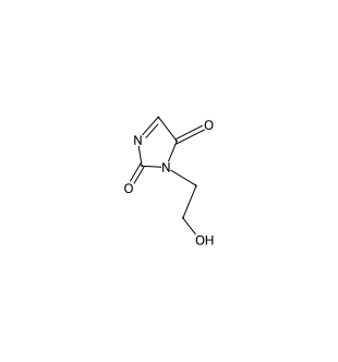 O=C1C=NC(=O)N1CCO